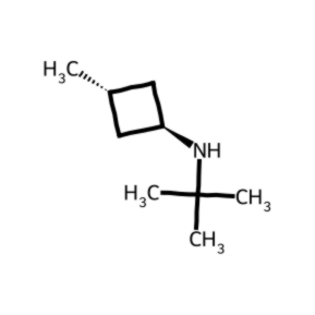 CC(C)(C)N[C@H]1C[C@H](C)C1